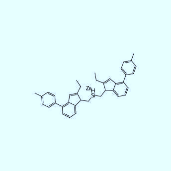 CCC1=Cc2c(-c3ccc(C)cc3)cccc2C1C[SiH]([Zr])CC1C(CC)=Cc2c(-c3ccc(C)cc3)cccc21